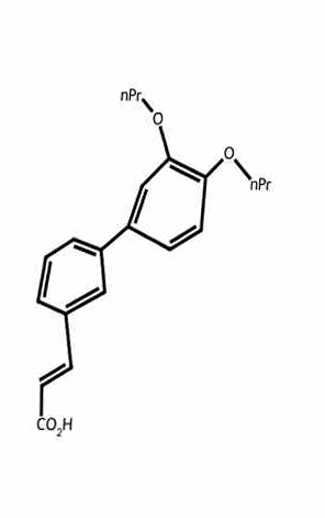 CCCOc1ccc(-c2cccc(/C=C/C(=O)O)c2)cc1OCCC